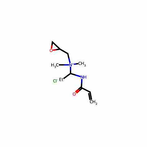 C=CC(=O)NC(CC)[N+](C)(C)CC1CO1.[Cl-]